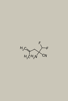 C=C(C)CC(N)(C#N)C(F)F